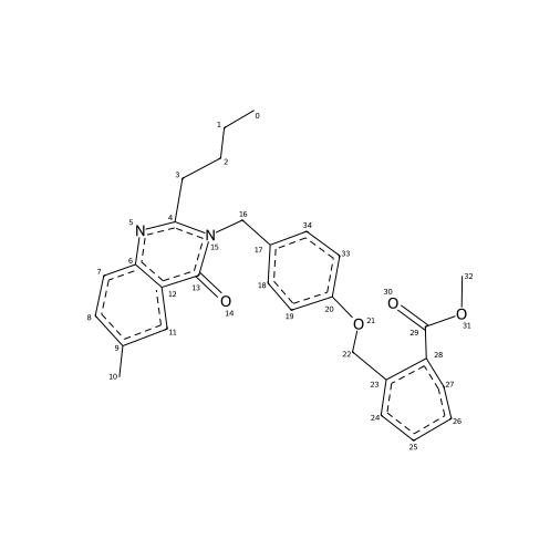 CCCCc1nc2ccc(C)cc2c(=O)n1Cc1ccc(OCc2ccccc2C(=O)OC)cc1